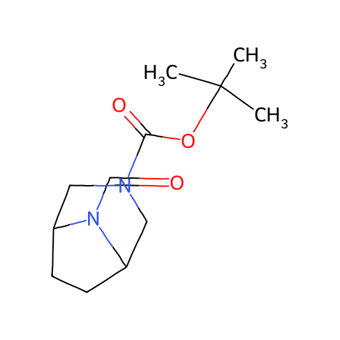 CC(C)(C)OC(=O)N1CC2CCC(C1)N2C=O